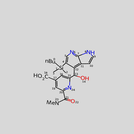 CCCC[Si](C)(C)c1cnc2[nH]ccc2c1C(O)c1cc(C(=O)O)cc(C(=O)NC)n1